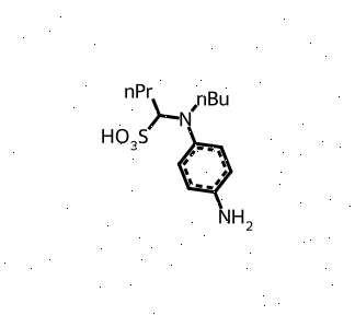 CCCCN(c1ccc(N)cc1)C(CCC)S(=O)(=O)O